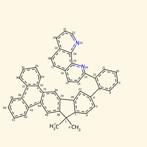 CC1(C)c2ccc(-c3ccccc3-c3ccc4ccc5cccnc5c4n3)cc2-c2cc3c4ccccc4c4ccccc4c3cc21